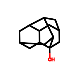 OC12CC3CC4C5CC(CC41)CC2C5C3